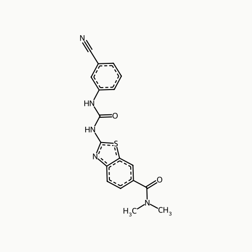 CN(C)C(=O)c1ccc2nc(NC(=O)Nc3cccc(C#N)c3)sc2c1